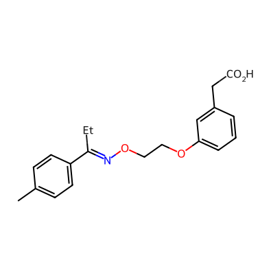 CC/C(=N\OCCOc1cccc(CC(=O)O)c1)c1ccc(C)cc1